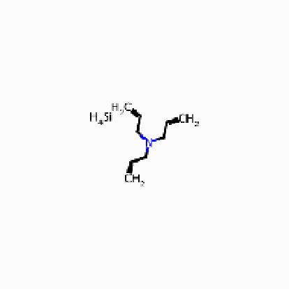 C=CCN(CC=C)CC=C.[SiH4]